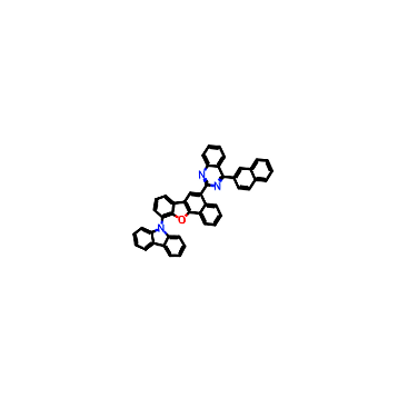 c1ccc2cc(-c3nc(-c4cc5c6cccc(-n7c8ccccc8c8ccccc87)c6oc5c5ccccc45)nc4ccccc34)ccc2c1